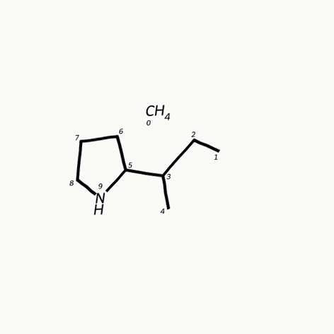 C.CCC(C)C1CCCN1